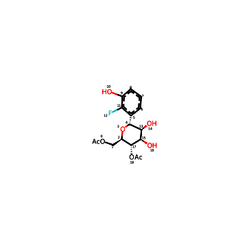 CC(=O)OC[C@H]1O[C@H](c2cccc(O)c2F)[C@@H](O)[C@@H](O)[C@@H]1OC(C)=O